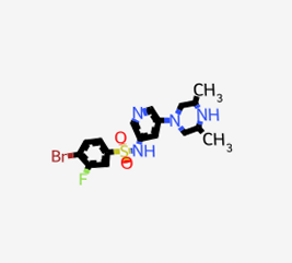 CC1CN(c2cncc(NS(=O)(=O)c3ccc(Br)c(F)c3)c2)CC(C)N1